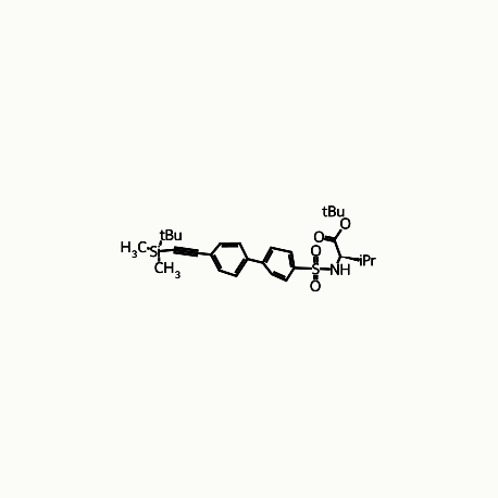 CC(C)[C@@H](NS(=O)(=O)c1ccc(-c2ccc(C#C[Si](C)(C)C(C)(C)C)cc2)cc1)C(=O)OC(C)(C)C